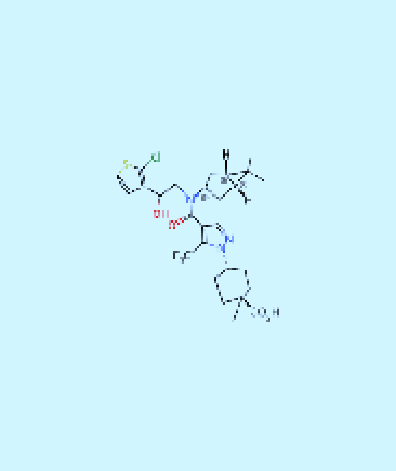 CC1(C)[C@@H]2C[C@@H](N(CC(O)c3ccsc3Cl)C(=O)c3cnn([C@H]4CC[C@](C)(C(=O)O)CC4)c3C(F)(F)F)C[C@@H]21